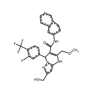 COCC1=C(C(=O)Nc2ccc3cnccc3c2)C(c2ccc(C(F)(F)F)c(F)c2)n2nc(CO)cc2N1